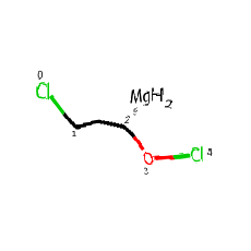 ClCCOCl.[MgH2]